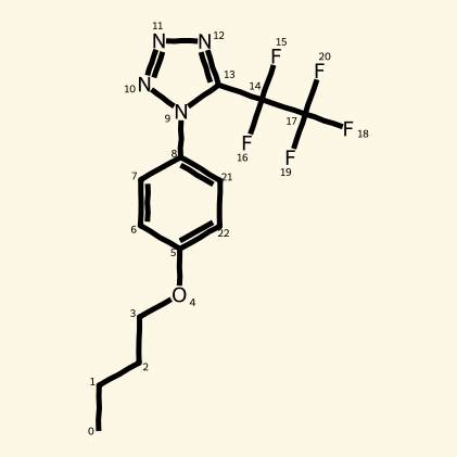 CCCCOc1ccc(-n2nnnc2C(F)(F)C(F)(F)F)cc1